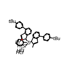 CC1=Cc2c(-c3ccc(C(C)(C)C)cc3)cccc2[CH]1[Zr]([CH3])(=[SiH2])([c]1ccccc1)[CH]1C(C(C)C)=Cc2c(-c3ccc(C(C)(C)C)cc3)cccc21.Cl.Cl